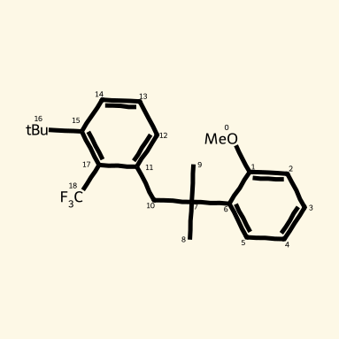 COc1ccccc1C(C)(C)Cc1cccc(C(C)(C)C)c1C(F)(F)F